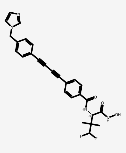 CC(C)(C(F)F)[C@H](NC(=O)c1ccc(C#CC#Cc2ccc(Cn3ccnc3)cc2)cc1)C(=O)NO